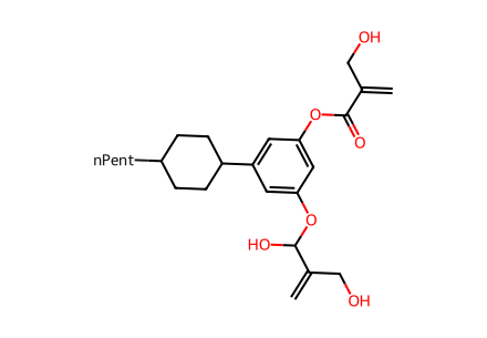 C=C(CO)C(=O)Oc1cc(OC(O)C(=C)CO)cc(C2CCC(CCCCC)CC2)c1